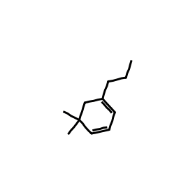 CCCC1=CC=CC(C)(C)C1